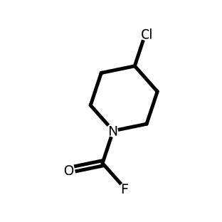 O=C(F)N1CCC(Cl)CC1